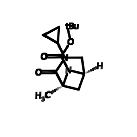 CC(C)(C)OC(=O)N1[C@H]2CN(C3CC3)C(=O)[C@]1(C)C2